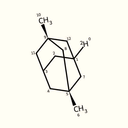 [2H]C12CC3C[C@@](C)(C1)C[C@](C)(C3)C2